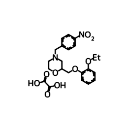 CCOc1ccccc1OCC1CN(Cc2ccc([N+](=O)[O-])cc2)CCO1.O=C(O)C(=O)O